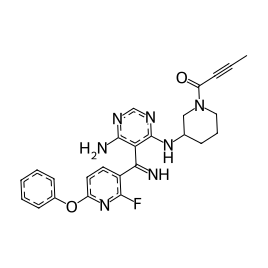 CC#CC(=O)N1CCCC(Nc2ncnc(N)c2C(=N)c2ccc(Oc3ccccc3)nc2F)C1